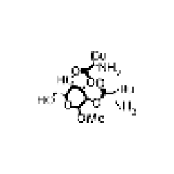 CC[C@H](C)[C@H](N)C(=O)O[C@H]1[C@@H](OC)O[C@H](CO)[C@@H](O)[C@@H]1OC(=O)[C@@H](N)[C@@H](C)CC